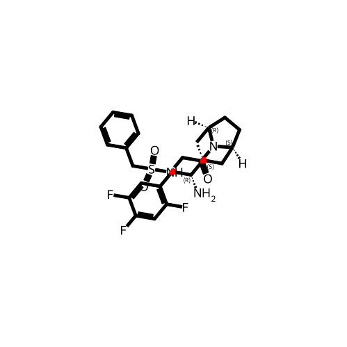 N[C@H](Cc1cc(F)c(F)cc1F)[C@@H]1C[C@H]2CC[C@@H](C1)N2C(=O)CNS(=O)(=O)Cc1ccccc1